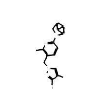 Cc1nc(N2CC3C4C3C42)ccc1Cn1cc(C(=O)O)c(C(C)C)n1